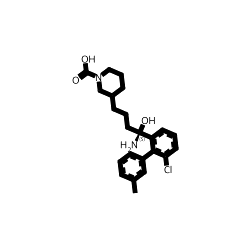 Cc1cccc(-c2c(Cl)cccc2[C@@](N)(O)CCCC2CCCN(C(=O)O)C2)c1